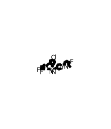 Cc1nc(N2CCC(c3nnc4n3-c3ccc(Cl)cc3CN(C3(C)CC(F)(F)C3)C4)CC2)ccc1F